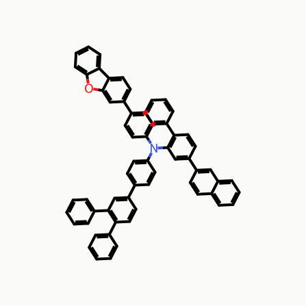 c1ccc(-c2ccc(-c3ccc(N(c4ccc(-c5ccc6c(c5)oc5ccccc56)cc4)c4cc(-c5ccc6ccccc6c5)ccc4-c4ccccc4)cc3)cc2-c2ccccc2)cc1